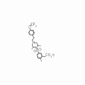 Cc1ccc(S(=O)(=O)N2[C@H](C)CN(CCc3ccc(OC(F)(F)F)cc3)C[C@@H]2C)cc1CC(=O)O